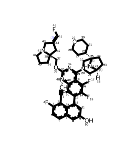 C#Cc1c(F)ccc2cc(O)cc(-c3c(F)c(F)c4c(N5C[C@@H]6CC[C@](C7CCOCC7)(C5)N6)nc(OC[C@@]56CCCN5C/C(=C\F)C6)nc4c3F)c12